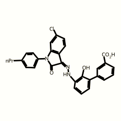 CCCc1ccc(N2C(=O)C(=NNc3cccc(-c4cccc(C(=O)O)c4)c3O)c3ccc(Cl)cc32)cc1